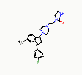 Cc1ccc2c(c1)[C@@H](c1ccc(F)cc1)C[C@@H]2N1CCN(CCN2CCNC2=O)CC1